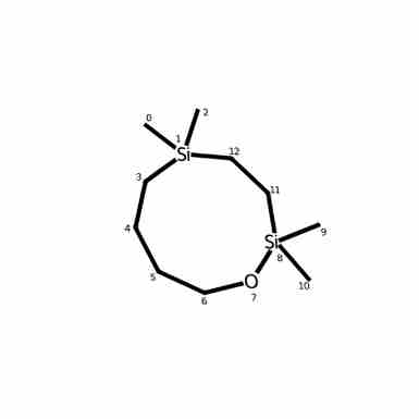 C[Si]1(C)CCCCO[Si](C)(C)CC1